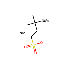 CNC(C)(C)CCS(=O)(=O)[O-].[Na+]